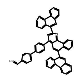 N=Cc1ccc(-c2ccc(-c3cc(-c4cc5ccccc5c5ccccc45)nc4c3cc(-c3cc5ccccc5c5ccccc35)c3ccccc34)cc2)cc1